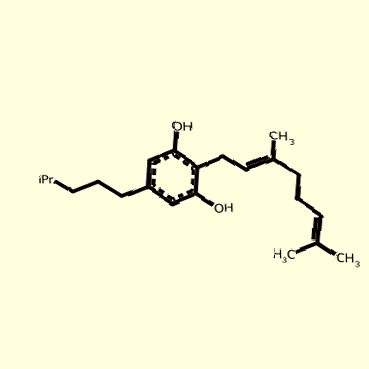 CC(C)=CCC/C(C)=C/Cc1c(O)cc(CCCC(C)C)cc1O